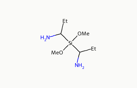 CCC(N)[Si](OC)(OC)C(N)CC